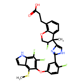 CSc1c(Oc2ccc(F)c(-c3nc(C4(C)c5cccc(CCC(=O)O)c5OCC4F)c[nH]3)c2)c(F)c(F)c2[nH]ccc12